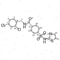 O=C(NCc1ccc(Cl)cc1Cl)c1ccc(S(=O)(=O)Nc2nccs2)cc1